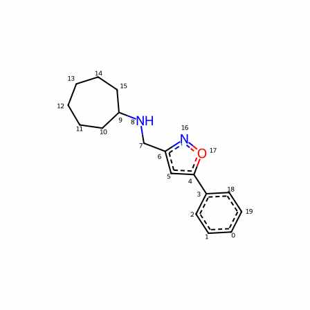 c1ccc(-c2cc(CNC3CCCCCC3)no2)cc1